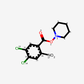 O=C(ON1CCCCC1)c1cc(Cl)c(Cl)cc1[N+](=O)[O-]